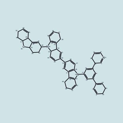 C1=CC(c2cc(C3C=NC=CC3)cc(-n3c4c(c5cc(C6=CC7C8=C(C=CCC8)N(C8C=C9C(CC8)OC8CCC=CC98)C7C=C6)ccc53)CCC=C4)c2)=CCC1